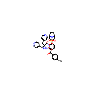 N#Cc1ccc(C(=O)C=C2NC(Cc3ccncc3)(Cc3ccncc3)C(=O)N2CC2CC3CCC(C2)N3S(=O)(=O)c2ccccc2)cc1